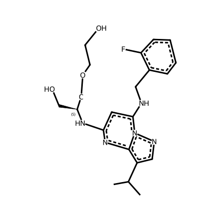 CC(C)c1cnn2c(NCc3ccccc3F)cc(N[C@@H](CO)COCCO)nc12